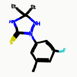 CCC1(CC)NC(=S)N(c2cc(C)cc(F)c2)N1